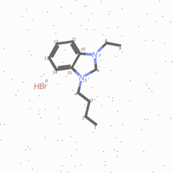 Br.CCCCN1CN(CC)c2ccccc21